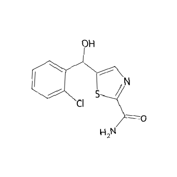 NC(=O)c1ncc(C(O)c2ccccc2Cl)s1